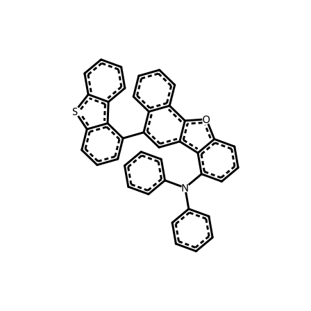 c1ccc(N(c2ccccc2)c2cccc3oc4c5ccccc5c(-c5cccc6sc7ccccc7c56)cc4c23)cc1